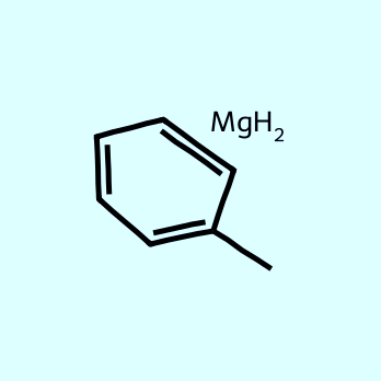 Cc1ccccc1.[MgH2]